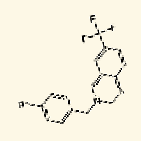 FC(F)(F)c1ccc2c(c1)=CN(Cc1ccc(Br)cc1)CN=2